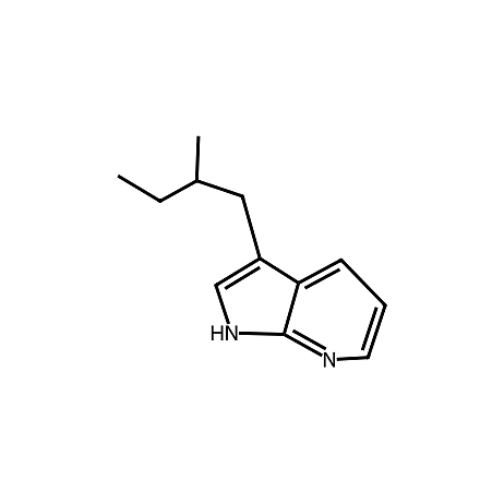 CCC(C)Cc1c[nH]c2ncccc12